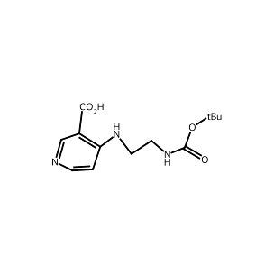 CC(C)(C)OC(=O)NCCNc1ccncc1C(=O)O